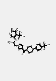 C[C@@H](Cn1ccc(C(=O)N2CCN(c3ccc(C(F)(F)F)cn3)CC2)c1)Nc1cn[nH]c(=O)c1C(F)(F)F